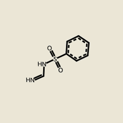 N=CNS(=O)(=O)c1ccccc1